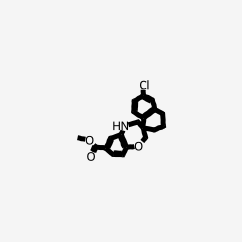 COC(=O)c1ccc2c(c1)NCC1(CCCc3cc(Cl)ccc31)CO2